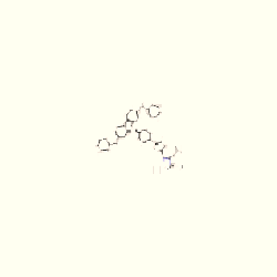 N#C/C(=C\c1ccc(-c2ccc(-n3c4cc(Cc5ccccc5)ccc4c4ccc(Cc5ccccc5)cc43)cc2)s1)C(=O)O